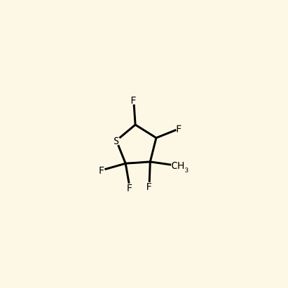 CC1(F)C(F)C(F)SC1(F)F